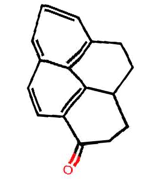 O=C1CCC2CCc3cccc4ccc1c2c34